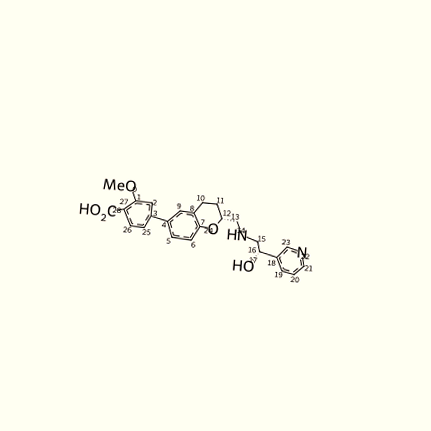 COc1cc(-c2ccc3c(c2)CC[C@H](CNC[C@@H](O)c2cccnc2)O3)ccc1C(=O)O